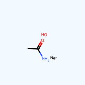 CC(N)=O.[Na+].[OH-]